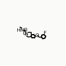 CCNC(=O)ON1CCc2ccc(OCc3cccc(F)c3)cc2CC1